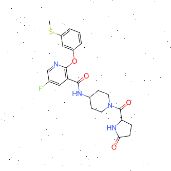 CSc1cccc(Oc2ncc(F)cc2C(=O)NC2CCN(C(=O)C3CCC(=O)N3)CC2)c1